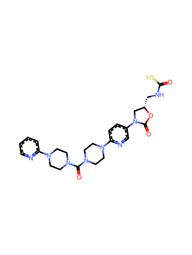 O=C(S)NC[C@H]1CN(c2ccc(N3CCN(C(=O)N4CCN(c5ccccn5)CC4)CC3)nc2)C(=O)O1